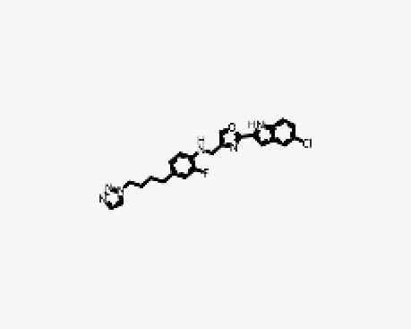 Fc1cc(CCCCn2ccnn2)ccc1NCc1coc(-c2cc3cc(Cl)ccc3[nH]2)n1